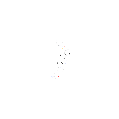 C=Cc1c(-c2cccc(S(=O)(=O)N3CCNCC3)c2)nnc(N2CCN(C(=O)C(C)(C)N)CC2)c1C=C